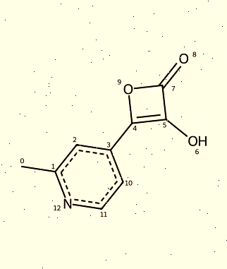 Cc1cc(C2=C(O)C(=O)O2)ccn1